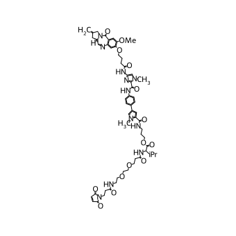 C=C1C[C@H]2C=Nc3cc(OCCCC(=O)Nc4cn(C)c(C(=O)Nc5ccc(-c6cc(C(=O)NCCCOC(=O)C(NC(=O)CCOCCOCCNC(=O)CCN7C(=O)C=CC7=O)C(C)C)n(C)c6)cc5)n4)c(OC)cc3C(=O)N2C1